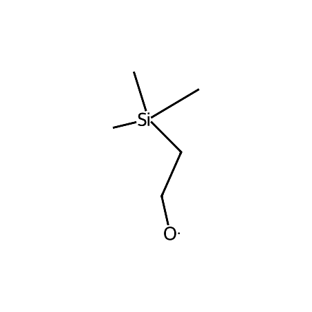 C[Si](C)(C)CC[O]